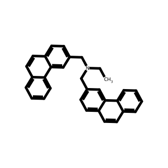 CCN(Cc1ccc2ccc3ccccc3c2c1)Cc1ccc2ccc3ccccc3c2c1